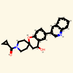 O=C(C1CC1)N1CCC2(CC1)CC(O)c1cc(-c3cnc4ccccc4c3)ccc1O2